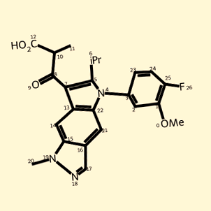 COc1cc(-n2c(C(C)C)c(C(=O)C(C)C(=O)O)c3cc4c(cnn4C)cc32)ccc1F